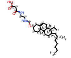 CCCCC[C@@H](C)[C@H]1CC[C@H]2[C@@H]3CC=C4C[C@@H](OCNCCNC(=O)CC(=O)O)CC[C@]4(C)[C@H]3CC[C@]12C